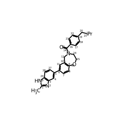 Cc1nc2cc(-c3ccc4c(c3)CN(C(=O)c3ccc(CC(C)C)cc3)CCO4)ccc2[nH]1